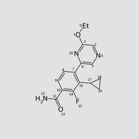 CCOc1cncc(-c2ccc(C(N)=O)c(F)c2C2CC2)n1